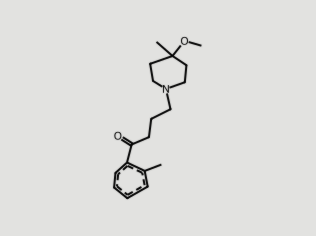 COC1(C)CCN(CCCC(=O)c2ccccc2C)CC1